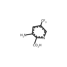 Nc1cc(C(F)(F)F)cnc1C(=O)O